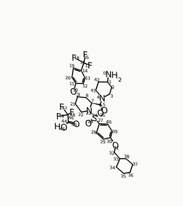 NC1CCN(C(=O)[C@@H]2C[C@@H](Oc3ccc(C(F)(F)F)cc3)CCN2S(=O)(=O)c2ccc(OCC3CCCCC3)cc2)CC1.O=C(O)C(F)(F)F